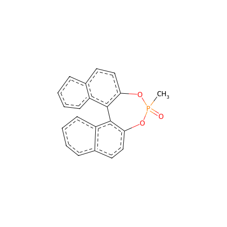 CP1(=O)Oc2ccc3ccccc3c2-c2c(ccc3ccccc23)O1